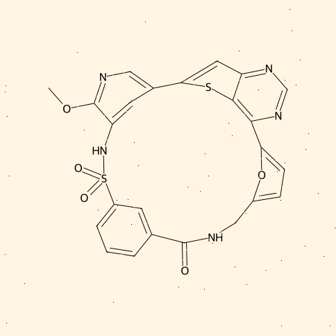 COc1ncc2cc1NS(=O)(=O)c1cccc(c1)C(=O)NCc1ccc(o1)-c1ncnc3cc-2sc13